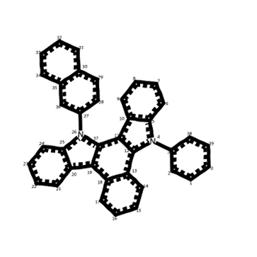 c1ccc(-n2c3ccccc3c3c2c2ccccc2c2c4ccccc4n(-c4ccc5ccccc5c4)c23)cc1